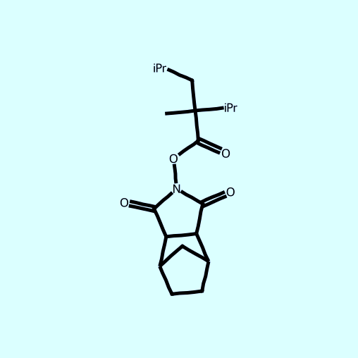 CC(C)CC(C)(C(=O)ON1C(=O)C2C3CCC(C3)C2C1=O)C(C)C